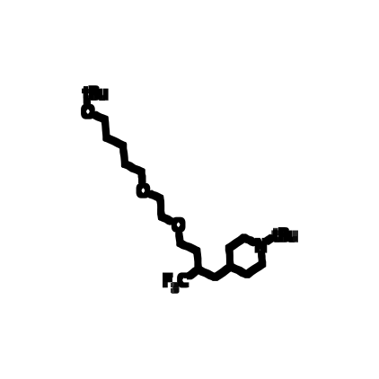 CC(C)(C)OCCCCCOCCOCCC(CC1CCN(C(C)(C)C)CC1)C(F)(F)F